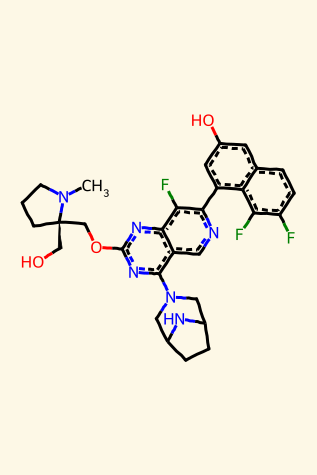 CN1CCC[C@@]1(CO)COc1nc(N2CC3CCC(C2)N3)c2cnc(-c3cc(O)cc4ccc(F)c(F)c34)c(F)c2n1